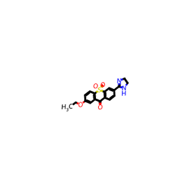 CCOc1ccc2c(c1)C(=O)c1ccc(C3=NCCN3)cc1S2(=O)=O